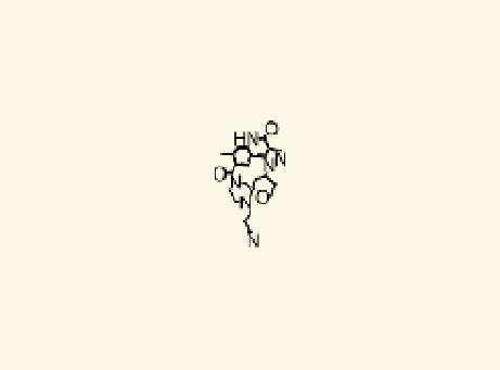 Cc1cc2[nH]c(=O)c3cnn(C4CCOCC4)c3c2cc1C(=O)N1CCN(CCC#N)CC1